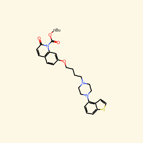 CCCCOC(=O)n1c(=O)ccc2ccc(OCCCCN3CCN(c4cccc5sccc45)CC3)cc21